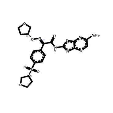 CNc1cnc2nc(NC(=O)/C(=N/O[C@@H]3CCOC3)c3ccc(S(=O)(=O)[C@H]4CCOC4)cc3)sc2n1